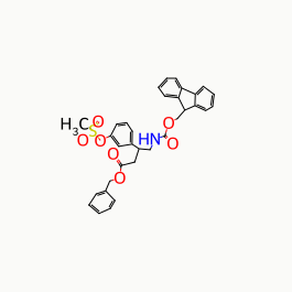 CS(=O)(=O)Oc1cccc(C(CNC(=O)OCC2c3ccccc3-c3ccccc32)CC(=O)OCc2ccccc2)c1